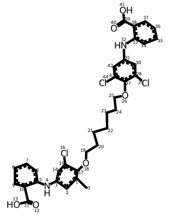 Cc1cc(Nc2ccccc2C(=O)O)cc(Cl)c1OCCCCCCCOc1c(Cl)cc(Nc2ccccc2C(=O)O)cc1Cl